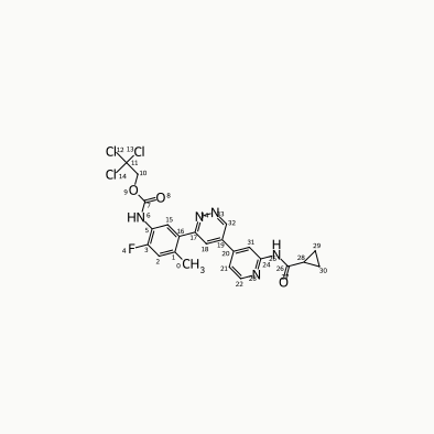 Cc1cc(F)c(NC(=O)OCC(Cl)(Cl)Cl)cc1-c1cc(-c2ccnc(NC(=O)C3CC3)c2)cnn1